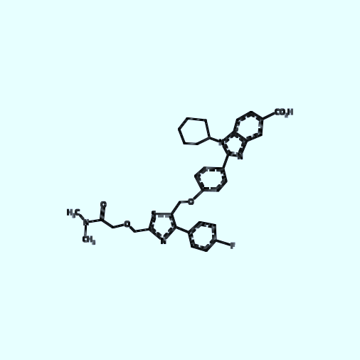 CN(C)C(=O)COCc1nc(-c2ccc(F)cc2)c(COc2ccc(-c3nc4cc(C(=O)O)ccc4n3C3CCCCC3)cc2)s1